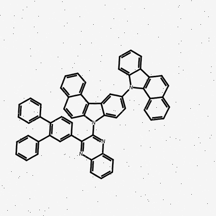 c1ccc(-c2ccc(-c3nc4ccccc4nc3-n3c4ccc(-n5c6ccccc6c6ccc7ccccc7c65)cc4c4c5ccccc5ccc43)cc2-c2ccccc2)cc1